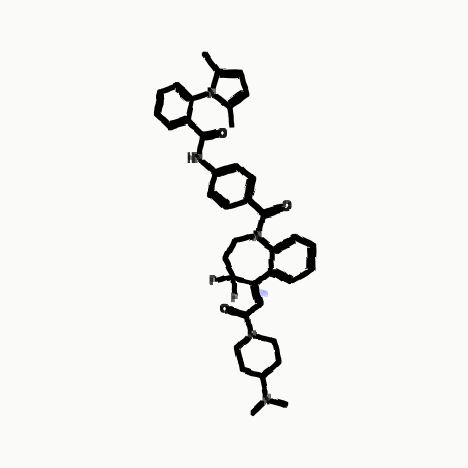 Cc1ccc(C)n1-c1ccccc1C(=O)Nc1ccc(C(=O)N2CCC(F)(F)/C(=C\C(=O)N3CCC(N(C)C)CC3)c3ccccc32)cc1